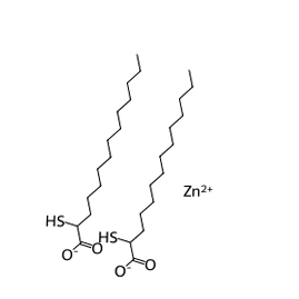 CCCCCCCCCCCCC(S)C(=O)[O-].CCCCCCCCCCCCC(S)C(=O)[O-].[Zn+2]